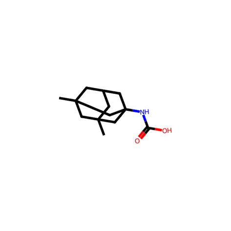 CC12CC3CC(C)(C1)CC(NC(=O)O)(C3)C2